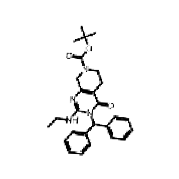 CCNc1nc2c(c(=O)n1C(c1ccccc1)c1ccccc1)CCN(C(=O)OC(C)(C)C)C2